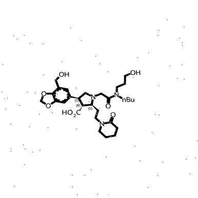 CCCCN(CCCO)C(=O)CN1C[C@H](c2cc(CO)c3c(c2)OCO3)[C@@H](C(=O)O)[C@@H]1CCN1CCCCC1=O